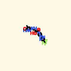 Cc1cc(NCC[C@@H](O)C(=O)N2CCN(c3ncc(C(F)(F)F)cn3)CC2)n[nH]c1=O